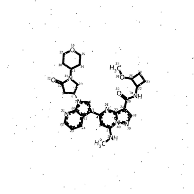 CNc1cc(-c2cn([C@@H]3CC(=O)N(C4CCOCC4)C3)c3ncccc23)nc2c(C(=O)NC3CCC3OC)cnn12